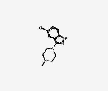 CN1CCN(c2n[nH]c3ccc(Cl)cc23)CC1